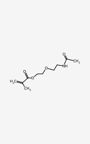 C=C(C)C(=O)OCCOCCNC(C)=O